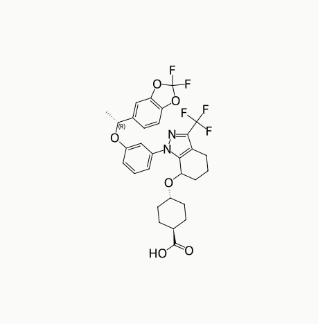 C[C@@H](Oc1cccc(-n2nc(C(F)(F)F)c3c2C(O[C@H]2CC[C@H](C(=O)O)CC2)CCC3)c1)c1ccc2c(c1)OC(F)(F)O2